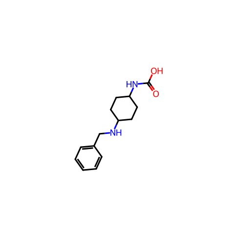 O=C(O)NC1CCC(NCc2ccccc2)CC1